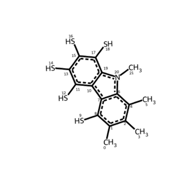 Cc1c(C)c(C)c2c(c1S)c1c(S)c(S)c(S)c(S)c1n2C